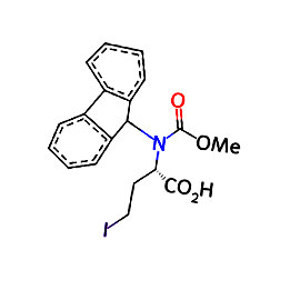 COC(=O)N(C1c2ccccc2-c2ccccc21)[C@@H](CCI)C(=O)O